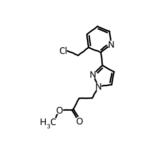 COC(=O)CCn1ccc(-c2ncccc2CCl)n1